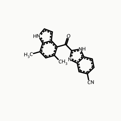 Cc1cc(C)c2[nH]ccc2c1C(=O)c1nc2cc(C#N)ccc2[nH]1